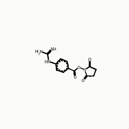 N=C(N)Nc1ccc(C(=O)ON2C(=O)CCC2=O)cc1